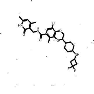 Cc1cc(C)c(CNC(=O)c2cc(Cl)c3c(c2C)OC(C2CCC(NC4CC(F)(F)C4)CC2)CO3)c(=O)[nH]1